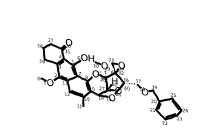 COc1c2c(c(O)c3c4c(c(C)cc13)C1O[C@]3(COCc5ccccc5)O[C@H]1[C@@](OC)(O4)[C@@]31CO1)C(=O)CCC2